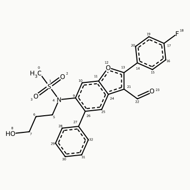 CS(=O)(=O)N(CCCO)c1cc2oc(-c3ccc(F)cc3)c(C=O)c2cc1-c1ccccc1